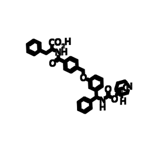 O=C(NC(c1ccccc1)c1cccc(OCc2ccc(C(=O)NC(Cc3ccccc3)C(=O)O)cc2)c1)O[C@H]1CN2CCC1CC2